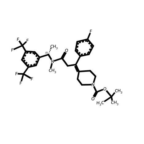 C[C@@H](c1cc(C(F)(F)F)cc(C(F)(F)F)c1)N(C)C(=O)CC(=C1CCN(C(=O)OC(C)(C)C)CC1)c1ccc(F)cc1